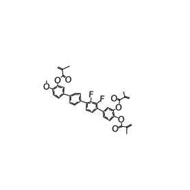 C=C(C)C(=O)Oc1cc(-c2ccc(-c3ccc(-c4ccc(OC(=O)C(=C)C)c(OC(=O)C(=C)C)c4)c(F)c3F)cc2)ccc1OC